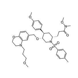 COCCCN1CCOc2ccc(CO[C@H]3CN(S(=O)(=O)c4ccc(C)cc4)[C@@H](CCC(=O)N(C)OC)C[C@@H]3c3ccc(OC)cc3)cc21